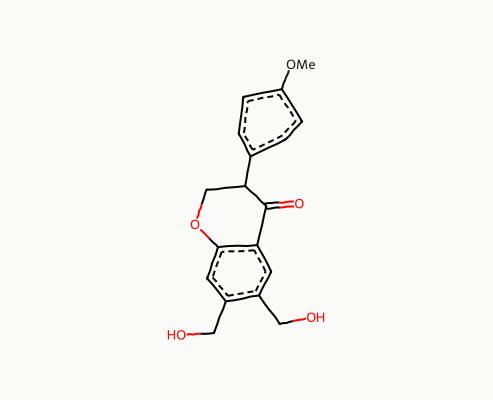 COc1ccc(C2COc3cc(CO)c(CO)cc3C2=O)cc1